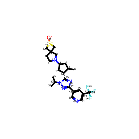 CC1CC(N2CCC3(C2)C[S+]([O-])C3)C[C@H]1c1nc(-c2cncc(C(F)(F)F)c2)nn1C(C)C